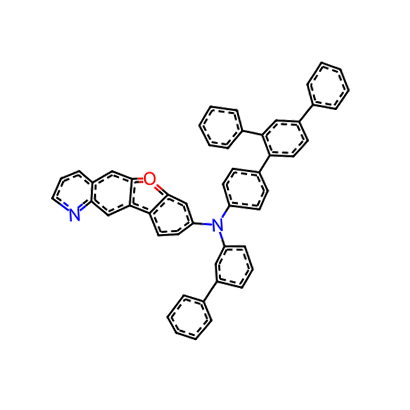 c1ccc(-c2cccc(N(c3ccc(-c4ccc(-c5ccccc5)cc4-c4ccccc4)cc3)c3ccc4c(c3)oc3cc5cccnc5cc34)c2)cc1